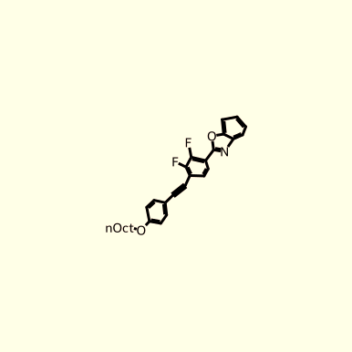 CCCCCCCCOc1ccc(C#Cc2ccc(-c3nc4ccccc4o3)c(F)c2F)cc1